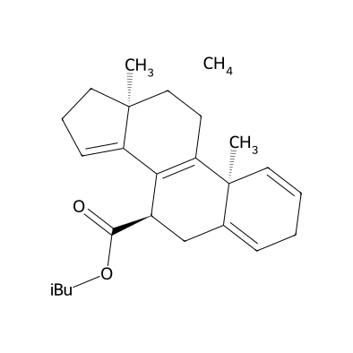 C.CCC(C)OC(=O)[C@@H]1CC2=CCC=C[C@]2(C)C2=C1C1=CCC[C@@]1(C)CC2